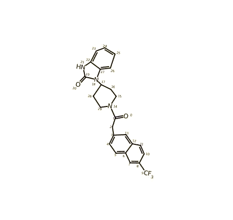 O=C(Cc1ccc2cc(C(F)(F)F)ccc2c1)N1CCC(n2c(=O)[nH]c3ccccc32)CC1